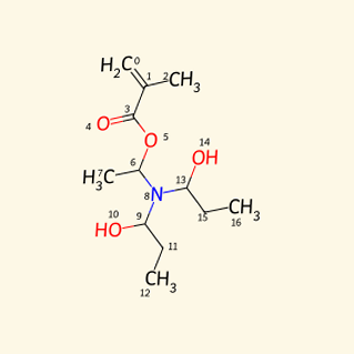 C=C(C)C(=O)OC(C)N(C(O)CC)C(O)CC